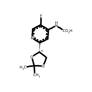 CC1(C)OC[C@@H](c2cc(NC(=O)O)c(F)cn2)O1